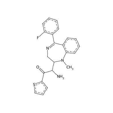 CN1c2ccccc2C(c2ccccc2F)=NCC1C(N)C(=O)c1cccs1